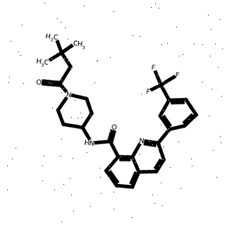 CC(C)(C)CC(=O)N1CCC(NC(=O)c2cccc3ccc(-c4cccc(C(F)(F)F)c4)nc23)CC1